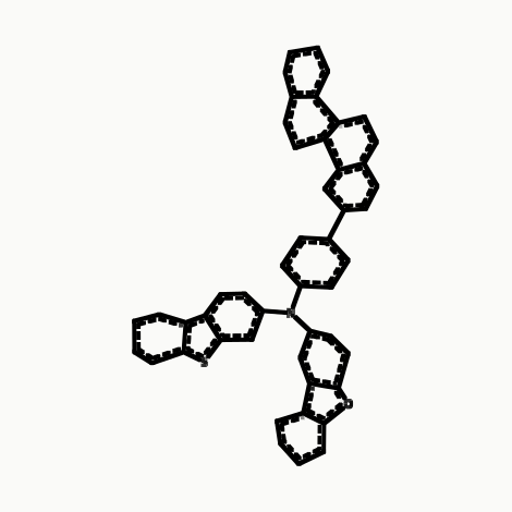 c1ccc2c(c1)ccc1c3cc(-c4ccc(N(c5ccc6c(c5)sc5ccccc56)c5ccc6oc7ccccc7c6c5)cc4)ccc3ccc21